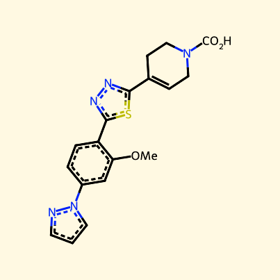 COc1cc(-n2cccn2)ccc1-c1nnc(C2=CCN(C(=O)O)CC2)s1